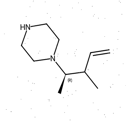 C=CC(C)[C@@H](C)N1CCNCC1